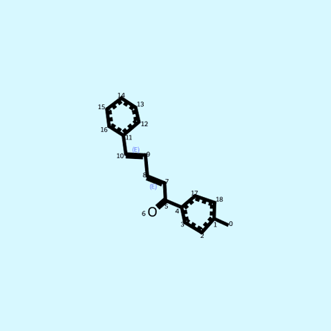 Cc1ccc(C(=O)/C=C/C=C/c2ccccc2)cc1